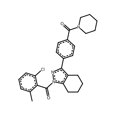 Cc1cccc(Cl)c1C(=O)n1nc(-c2ccc(C(=O)N3CCCCC3)cc2)c2c1CCCC2